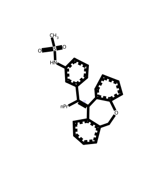 CCC/C(=C1\c2ccccc2COc2ccccc21)c1cccc(NS(C)(=O)=O)c1